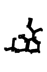 C=C[C](C)c1cccc(OC(C)C)c1Cl